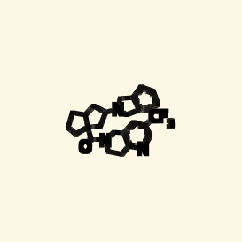 O=C(N1CCc2ncc(C(F)(F)F)cc2C1)C12CCCC1CC(N1Cc3ccccc3C1)C2